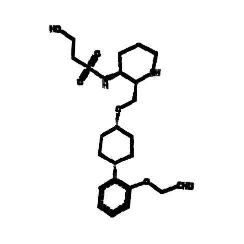 O=CCOc1ccccc1[C@H]1CC[C@@H](OC[C@@H]2NCCC[C@@H]2NS(=O)(=O)CCO)CC1